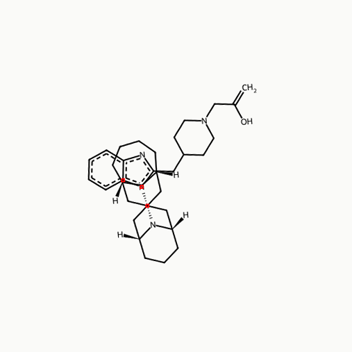 C=C(O)CN1CCC(Cc2nc3ccccc3n2[C@H]2C[C@H]3CCC[C@@H](C2)N3[C@@H]2C[C@@H]3CCCC[C@@H](C3)C2)CC1